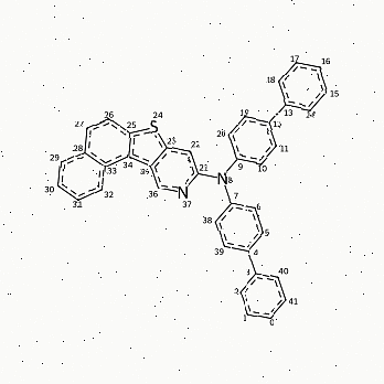 c1ccc(-c2ccc(N(c3ccc(-c4ccccc4)cc3)c3cc4sc5ccc6ccccc6c5c4cn3)cc2)cc1